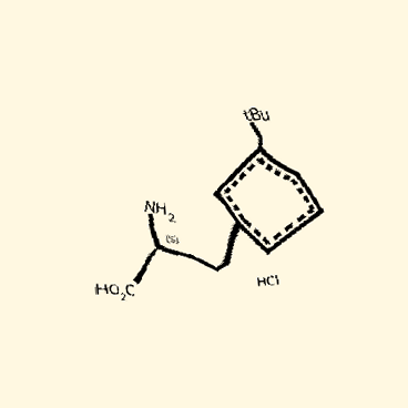 CC(C)(C)c1cccc(C[C@H](N)C(=O)O)c1.Cl